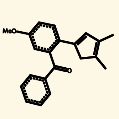 COc1ccc(C2=CC(C)=C(C)C2)c(C(=O)c2ccccc2)c1